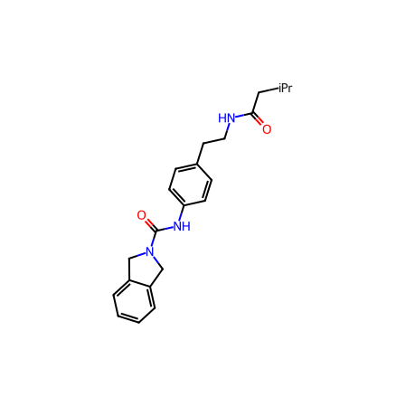 CC(C)CC(=O)NCCc1ccc(NC(=O)N2Cc3ccccc3C2)cc1